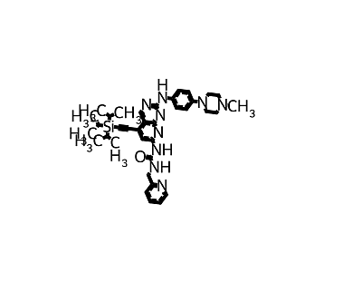 CC(C)[Si](C#Cc1cc(NC(=O)NCc2ccccn2)nc2nc(Nc3ccc(N4CCN(C)CC4)cc3)ncc12)(C(C)C)C(C)C